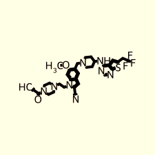 C#CC(=O)N1CCN(CCn2c(C#N)cc3cc(CN4CCC(Nc5ncnc6sc(CC(F)(F)F)cc56)CC4)c(OC)cc32)CC1